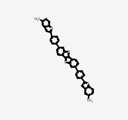 Cc1ccc2sc(-c3ccc(-c4ccc5c(c4)sc4c6ccc(-c7ccc(-c8cc9cc(C)ccc9s8)cc7)cc6sc54)cc3)cc2c1